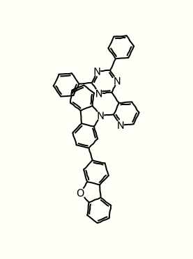 c1ccc(-c2nc(-c3ccccc3)nc(-c3cccnc3-n3c4ccccc4c4ccc(-c5ccc6c(c5)oc5ccccc56)cc43)n2)cc1